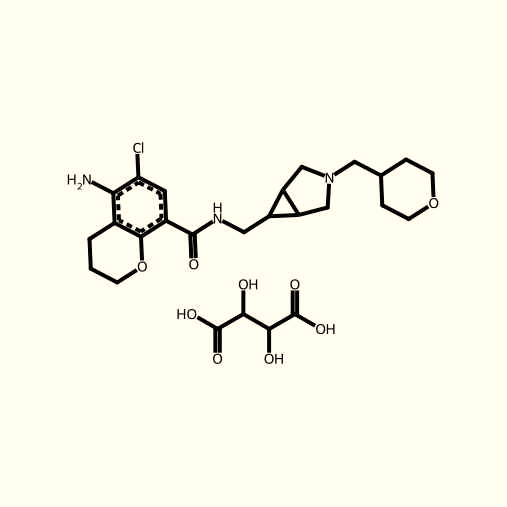 Nc1c(Cl)cc(C(=O)NCC2C3CN(CC4CCOCC4)CC23)c2c1CCCO2.O=C(O)C(O)C(O)C(=O)O